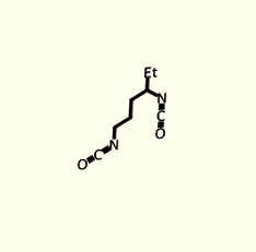 CCC(CCCN=C=O)N=C=O